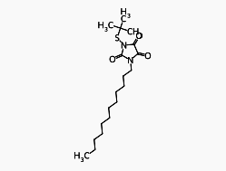 CCCCCCCCCCCCN1C(=O)C(=O)N(SC(C)(C)C)C1=O